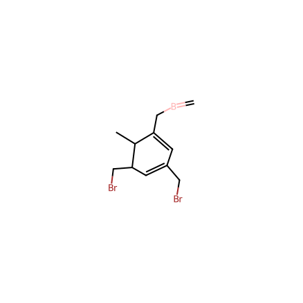 C=BCC1=CC(CBr)=CC(CBr)C1C